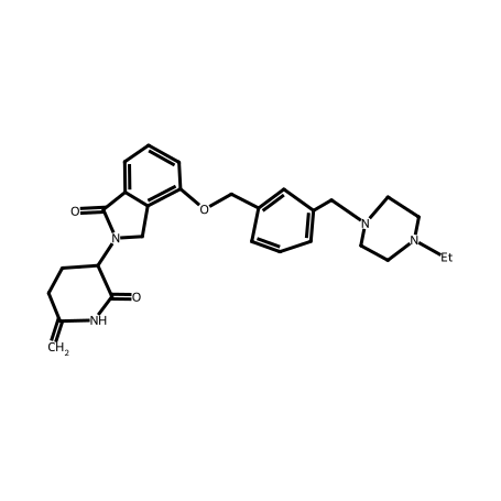 C=C1CCC(N2Cc3c(OCc4cccc(CN5CCN(CC)CC5)c4)cccc3C2=O)C(=O)N1